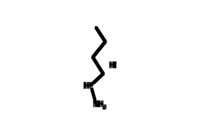 CCCCPN.I